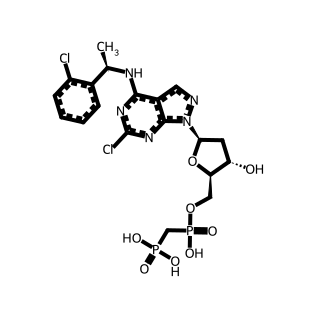 C[C@@H](Nc1nc(Cl)nc2c1cnn2[C@H]1C[C@H](O)[C@@H](COP(=O)(O)CP(=O)(O)O)O1)c1ccccc1Cl